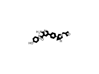 Nc1ncc(-c2ccc([C@]34C[C@H]3CN(CC3COC3)C4)cc2)cc1C(=O)N[C@H]1CC[C@H](O)CC1